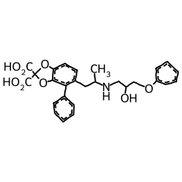 CC(Cc1ccc2c(c1-c1ccccc1)OC(C(=O)O)(C(=O)O)O2)NCC(O)COc1ccccc1